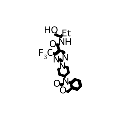 CCC(CO)NC(=O)c1cnc(N2CCC(N3C(=O)OCc4ccccc43)CC2)nc1C(F)(F)F